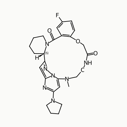 CN1CCNC(=O)COc2ccc(F)cc2C(=O)N2CCCC[C@H]2c2cc3nc(N4CCCC4)cc1n3n2